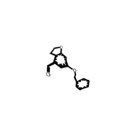 O=Cc1cc(OCc2ccccc2)cc2c1CCO2